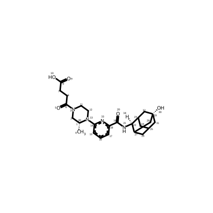 C[C@@H]1CN(C(=O)CCC(=O)O)CCN1c1cccc(C(=O)N[C@H]2C3CC4CC2C[C@](O)(C4)C3)n1